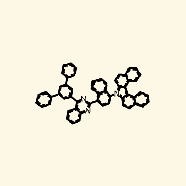 c1ccc(-c2cc(-c3ccccc3)cc(-c3nc(-c4ccc(-n5c6ccc7ccccc7c6c6c7ccccc7ccc65)c5ccccc45)nc4ccccc34)c2)cc1